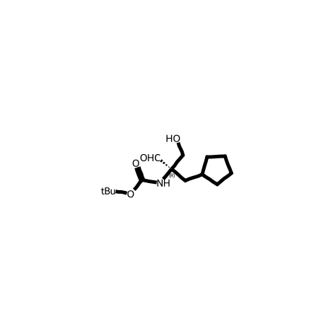 CC(C)(C)OC(=O)N[C@@](C=O)(CO)CC1CCCC1